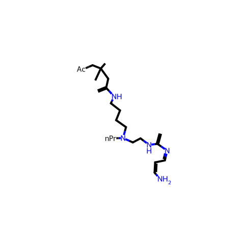 C=C(CC(C)(C)CC(C)=O)NCCCCN(CCC)CCNC(=C)/N=C\C=C/N